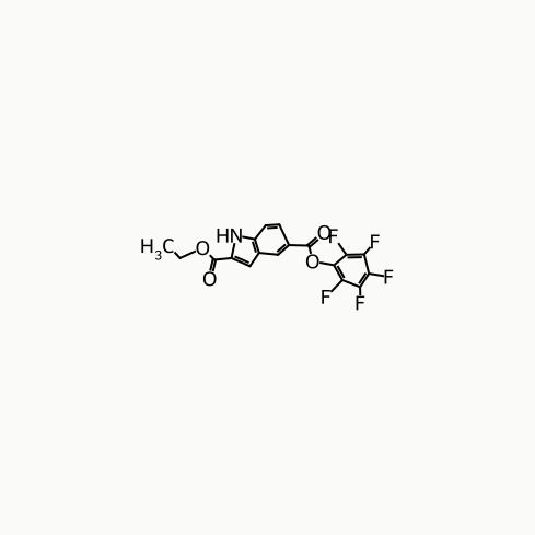 CCOC(=O)c1cc2cc(C(=O)Oc3c(F)c(F)c(F)c(F)c3F)ccc2[nH]1